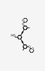 Cc1cc(C#Cc2cc(C#Cc3cc(C)cc(OC4CCCCO4)c3)cc(CO)c2)cc(OC2CCCCO2)c1